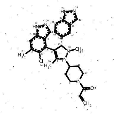 C=CC(=O)N1CCC(N2C(C)=C(c3c(Cl)c(C)cc4[nH]ncc34)[C@H](c3ccc4[nH]ncc4c3)N2C)CC1